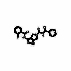 O=C(NC(=O)N1Cc2[nH]nc(NC(=O)c3ccccc3F)c2C1)c1ccccc1